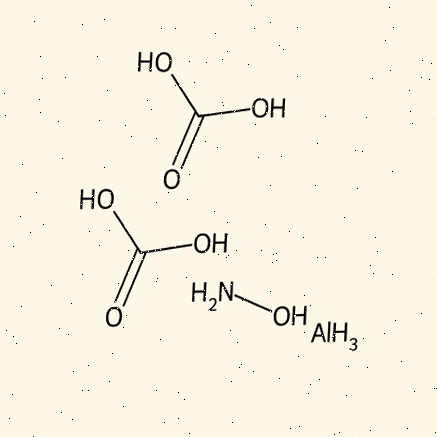 NO.O=C(O)O.O=C(O)O.[AlH3]